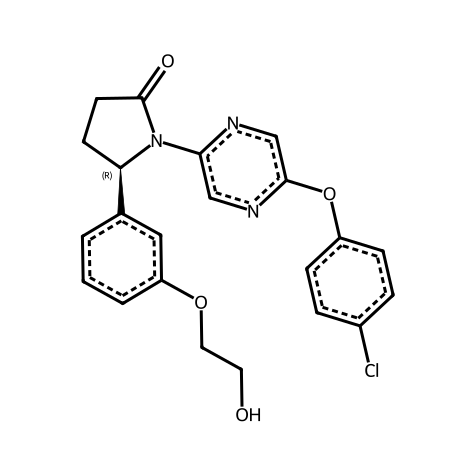 O=C1CC[C@H](c2cccc(OCCO)c2)N1c1cnc(Oc2ccc(Cl)cc2)cn1